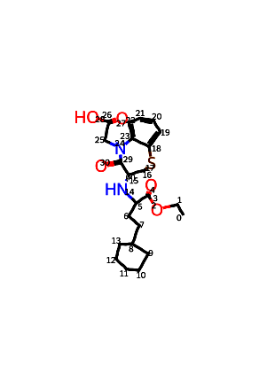 CCOC(=O)C(CCC1CCCCC1)N[C@H]1CSc2ccccc2N(CC(=O)O)C1=O